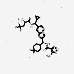 Cc1nonc1C(=O)N[C@H](c1cn2ncc(C(NC(=O)[C@H](C)CC(F)(F)F)C3CC3)cc2n1)C1CCC(F)(F)CC1